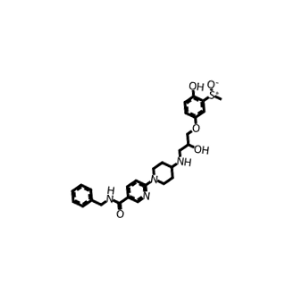 C[S+]([O-])c1cc(OCC(O)CNC2CCN(c3ccc(C(=O)NCc4ccccc4)cn3)CC2)ccc1O